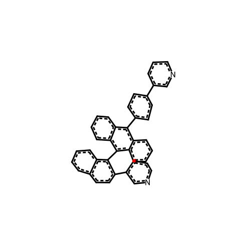 c1cncc(-c2ccc(-c3c4ccccc4c(-c4c(-c5cccnc5)ccc5ccccc45)c4ccccc34)cc2)c1